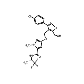 C[C@H](NC(=O)c1cc(OCc2c(-c3ccc(Cl)cc3)noc2CO)nn1C)C(F)(F)F